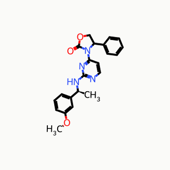 COc1cccc([C@H](C)Nc2nccc(N3C(=O)OCC3c3ccccc3)n2)c1